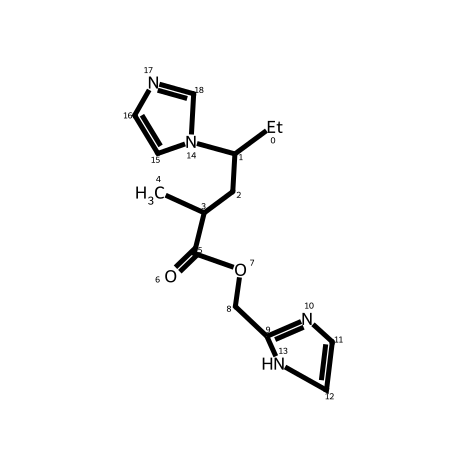 CCC(CC(C)C(=O)OCc1ncc[nH]1)n1ccnc1